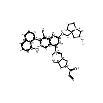 C=CC(=O)N1CC(/C=[N+](\C)c2nc(OC[C@@]34CCCN3C[C@H](F)C4)nc3c(F)c(-c4cccc5cccc(Cl)c45)ncc23)[C@H](C)C1